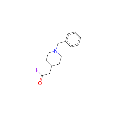 O=C(I)CC1CCN(Cc2ccccc2)CC1